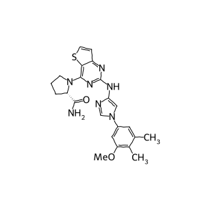 COc1cc(-n2cnc(Nc3nc(N4CCC[C@H]4C(N)=O)c4sccc4n3)c2)cc(C)c1C